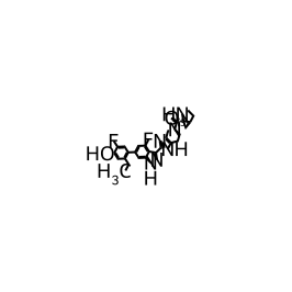 CCc1cc(O)c(F)cc1-c1cc(F)c2c(-c3nc4c([nH]3)CCN(C(=O)[C@]35CC3CCN5)C4)n[nH]c2c1